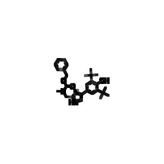 CN(Cc1nc(-c2cc(C(C)(C)C)c(O)c(C(C)(C)C)c2)c[nH]1)C(=O)OCc1ccccc1